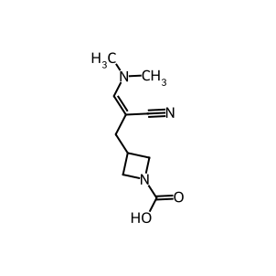 CN(C)/C=C(\C#N)CC1CN(C(=O)O)C1